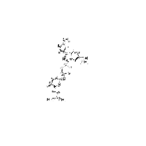 CNc1cc2c(cn1)c(-c1cnn(C)c1)nn2[C@H]1CC[C@@H](Oc2ccc(=O)n(CCN(C)C)n2)CC1